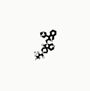 NC(C(=O)N1CCC2(CC1)C(=O)N(Cc1ncc3ccccc3c1-c1cncnc1)c1cnccc12)C(F)(F)F